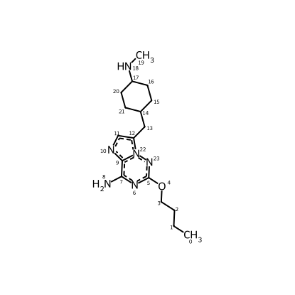 CCCCOc1nc(N)c2ncc(CC3CCC(NC)CC3)n2n1